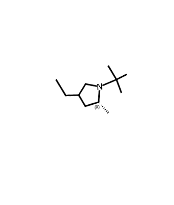 CCC1C[C@@H](C)N(C(C)(C)C)C1